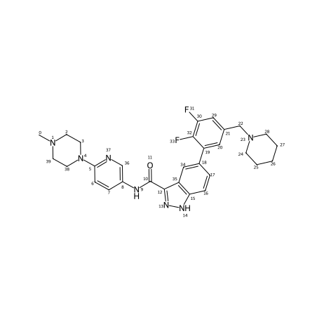 CN1CCN(c2ccc(NC(=O)c3n[nH]c4ccc(-c5cc(CN6CCCCC6)cc(F)c5F)cc34)cn2)CC1